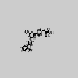 Nc1nc(-c2ccc(CC(N)C(=O)O)cc2)cc(N2CCC(c3ccccc3C(F)(F)F)C2)n1